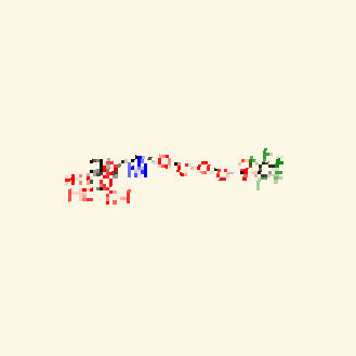 C[C@H]1[C@H](OCCc2cn(CCOCCOCCOCCOCCC(=O)Oc3c(F)c(F)c(F)c(F)c3F)nn2)O[C@H](CO)[C@H](O)[C@@H]1O